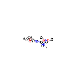 Cn1nc(-c2ccc(OCc3ccccc3)nc2OCc2ccccc2)c2ccc(N3CCN([C@H]4CC[C@H](C(=O)OC(C)(C)C)CC4)CC3)cc21